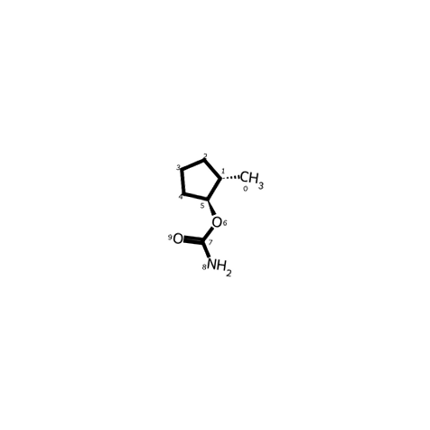 C[C@H]1CCC[C@@H]1OC(N)=O